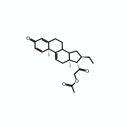 CC[C@@H]1CC2C3CCC4=CC(=O)C=C[C@]4(C)C3=CC[C@]2(C)[C@H]1C(=O)COC(C)=O